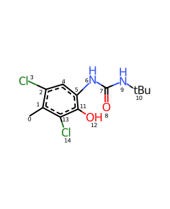 Cc1c(Cl)cc(NC(=O)NC(C)(C)C)c(O)c1Cl